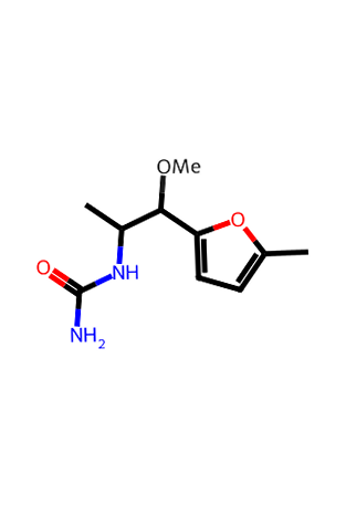 COC(c1ccc(C)o1)C(C)NC(N)=O